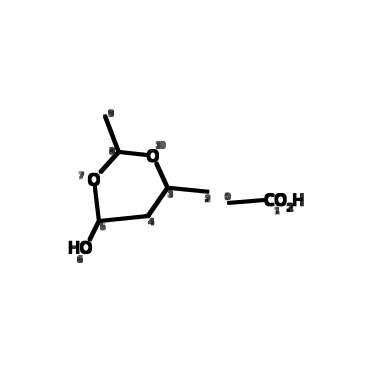 CC(=O)O.CC1CC(O)OC(C)O1